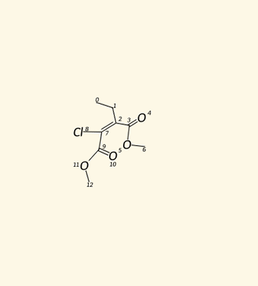 CCC(C(=O)OC)=C(Cl)C(=O)OC